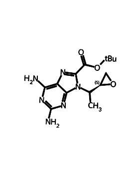 CC([C@H]1CO1)n1c(C(=O)OC(C)(C)C)nc2c(N)nc(N)nc21